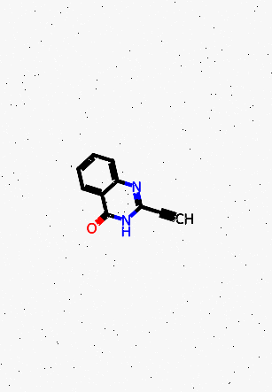 C#Cc1nc2ccccc2c(=O)[nH]1